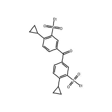 CCS(=O)(=O)c1cc(C(=O)c2ccc(C3CC3)c(S(=O)(=O)CC)c2)ccc1C1CC1